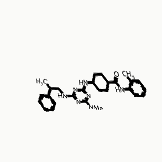 CNc1nc(NCC(C)c2ccccc2)nc(NC2CCC(C(=O)Nc3ccccc3C)CC2)n1